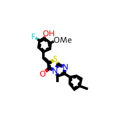 COc1cc(/C=c2\sc3nc(-c4ccc(C)cc4)c(C)n3c2=O)cc(F)c1O